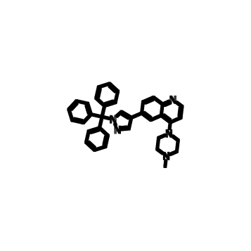 CN1CCN(c2ccnc3ccc(-c4cnn(C(c5ccccc5)(c5ccccc5)c5ccccc5)c4)cc23)CC1